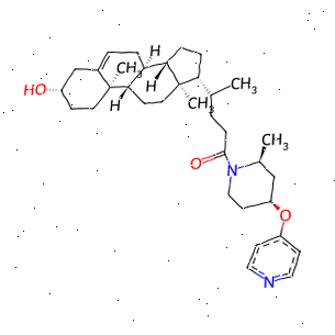 CC(CCC(=O)N1CC[C@H](Oc2ccncc2)C[C@@H]1C)[C@H]1CC[C@H]2[C@@H]3CC=C4C[C@@H](O)CC[C@]4(C)[C@H]3CC[C@]12C